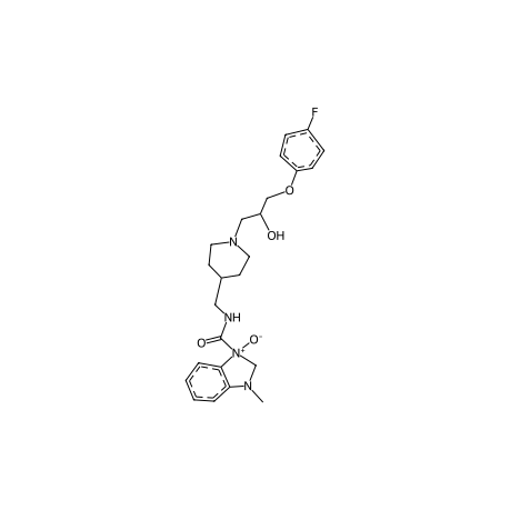 CN1C[N+]([O-])(C(=O)NCC2CCN(CC(O)COc3ccc(F)cc3)CC2)c2ccccc21